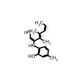 C\C=C/C(C)=C(C)/C(=C\CCC)Nc1ccc(C)cc1O